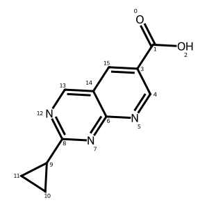 O=C(O)c1cnc2nc(C3CC3)ncc2c1